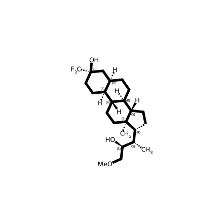 COC[C@@H](O)[C@@H](C)[C@H]1CC[C@H]2[C@@H]3CC[C@@H]4C[C@@](O)(C(F)(F)F)CC[C@@H]4[C@H]3CC[C@]12C